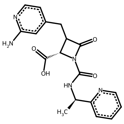 C[C@@H](NC(=O)N1C(=O)C(Cc2ccnc(N)c2)[C@H]1C(=O)O)c1ccccn1